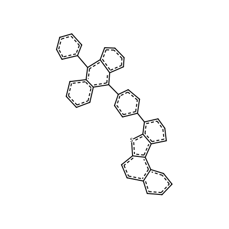 c1ccc(-c2c3ccccc3c(-c3ccc(-c4cccc5c4sc4ccc6ccccc6c45)cc3)c3ccccc23)cc1